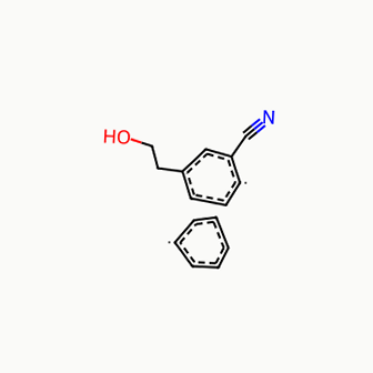 N#Cc1[c]ccc(CCO)c1.[c]1ccccc1